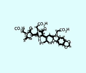 CCCC(C(/C=C1\Oc2cc3c(cc2N1CC(=O)O)OCO3)=c1\[nH]/c(=C2\SC(=S)N(CC(=O)O)C2=O)n(CC(=O)O)c1=O)C(C)C